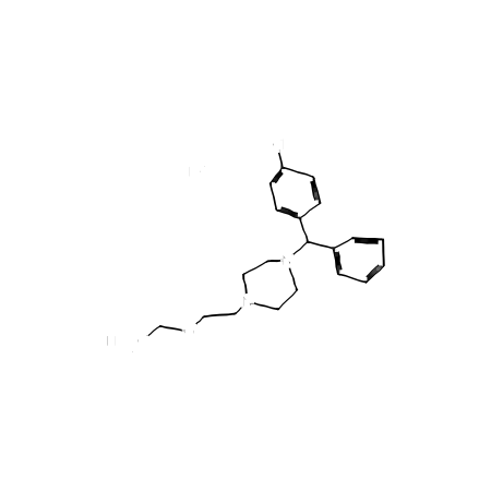 Cl.O=C(O)COCCN1CCN(C(c2ccccc2)c2ccc(Cl)cc2)CC1